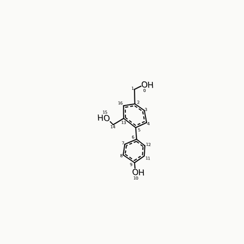 OCc1ccc(-c2ccc(O)cc2)c(CO)c1